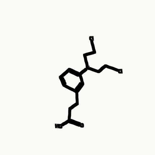 O=C(O)CCc1cccc(N(CCCl)CCCl)c1